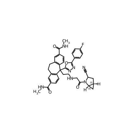 CNC(=O)c1ccc2c(c1)CCc1cc(C(=O)NC)ccc1C2(CCNCC(=O)N1C(C#N)C[C@@H]2C[C@@H]21)c1nnc(-c2ccc(F)cc2)o1